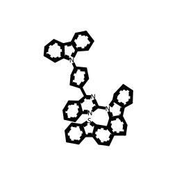 c1ccc2c(-c3ccc(-n4c5ccccc5c5ccccc54)cc3)nc(-n3c4ccccc4c4ccc5ccc6c7ccccc7sc6c5c43)nc2c1